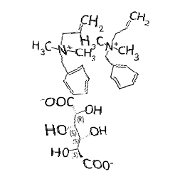 C=CC[N+](C)(C)Cc1ccccc1.C=CC[N+](C)(C)Cc1ccccc1.O=C([O-])[C@@H](O)[C@@H](O)[C@H](O)[C@@H](O)C(=O)[O-]